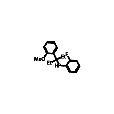 CCC(CC)(Pc1ccccc1F)c1ccccc1OC